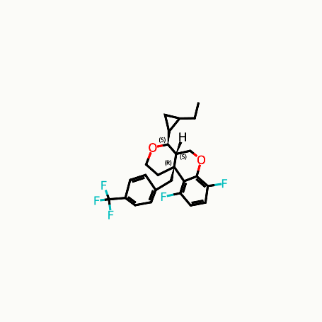 CCC1CC1[C@@H]1OCC[C@@]2(Cc3ccc(C(F)(F)F)cc3)c3c(F)ccc(F)c3OC[C@@H]12